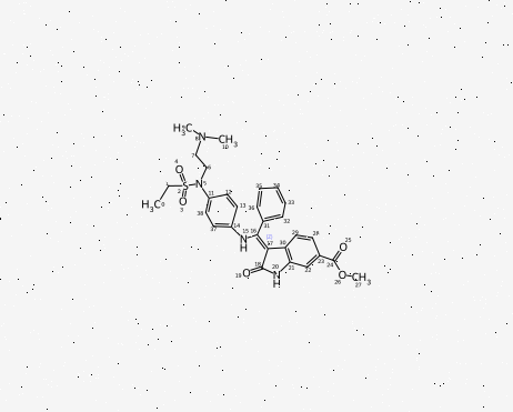 CCS(=O)(=O)N(CCN(C)C)c1ccc(N/C(=C2\C(=O)Nc3cc(C(=O)OC)ccc32)c2ccccc2)cc1